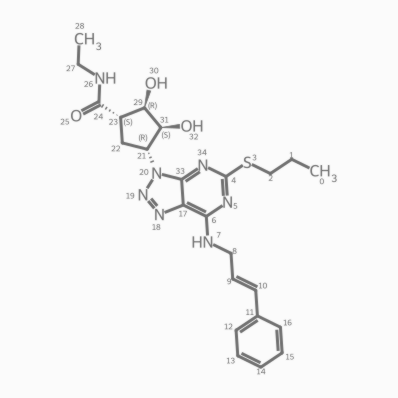 CCCSc1nc(NCC=Cc2ccccc2)c2nnn([C@@H]3C[C@H](C(=O)NCC)[C@@H](O)[C@H]3O)c2n1